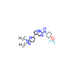 Cc1nc2ccc(-c3ccn4nc(N[C@H]5CC[C@H](OC(F)F)CC5)ncc34)nc2n1C